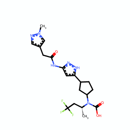 C[C@H](CC(F)(F)F)N(C(=O)O)C1CCC(c2cc(NC(=O)Cc3cnn(C)c3)n[nH]2)C1